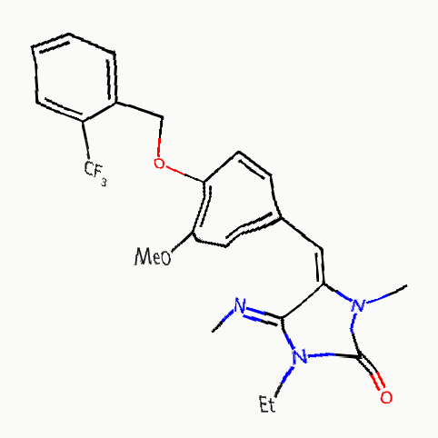 CCN1C(=O)N(C)C(=Cc2ccc(OCc3ccccc3C(F)(F)F)c(OC)c2)C1=NC